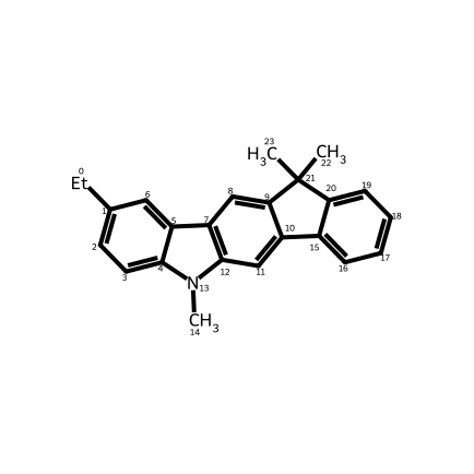 CCc1ccc2c(c1)c1cc3c(cc1n2C)-c1ccccc1C3(C)C